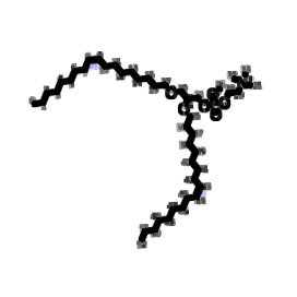 CCCCCCCC/C=C\CCCCCCCCOCC(COP(=O)(OC)OCC[N+](C)(C)C)OCCCCCCCC/C=C\CCCCCCCC